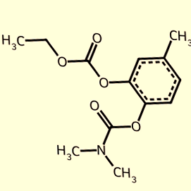 CCOC(=O)Oc1cc(C)ccc1OC(=O)N(C)C